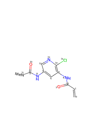 C=CC(=O)Nc1cc(NC(=O)NC)cnc1Cl